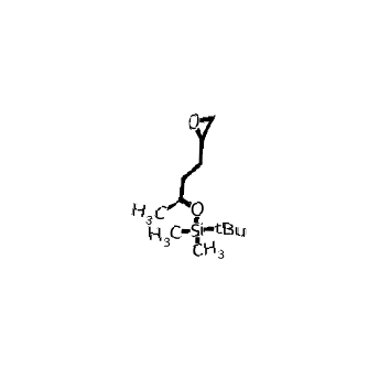 C[C@@H](CCC1CO1)O[Si](C)(C)C(C)(C)C